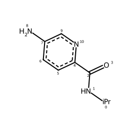 CC(C)NC(=O)c1ccc(N)cn1